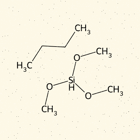 CCCC.CO[SiH](OC)OC